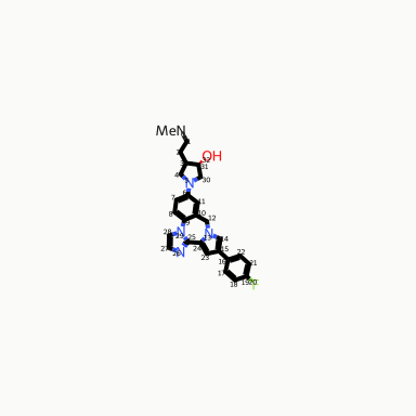 CNCCC1CN(c2ccc3c(c2)Cn2cc(-c4ccc(F)cc4)cc2-c2nccn2-3)C[C@@H]1O